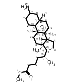 COC(=O)CCC[C@@H](C)[C@H]1CC[C@H]2[C@@H]3CC[C@H]4CC(N)CC[C@]4(C)[C@H]3CC[C@]12C